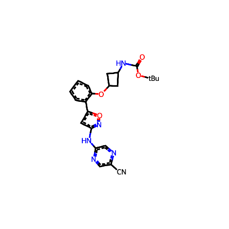 CC(C)(C)OC(=O)NC1CC(Oc2ccccc2-c2cc(Nc3cnc(C#N)cn3)no2)C1